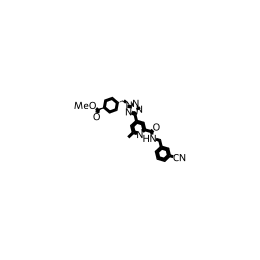 COC(=O)[C@H]1CC[C@H](Cn2nnc(-c3cc(C)nc(C(=O)NCc4cccc(C#N)c4)c3)n2)CC1